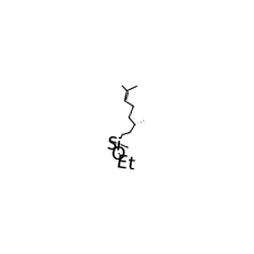 CCO[Si](C)(C)CC[C@@H](C)CCC=C(C)C